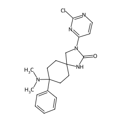 CN(C)C1(c2ccccc2)CCC2(CC1)CN(c1ccnc(Cl)n1)C(=O)N2